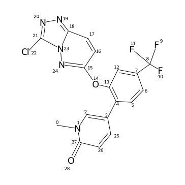 Cn1cc(-c2ccc(C(F)(F)F)cc2Oc2ccc3nnc(Cl)n3n2)ccc1=O